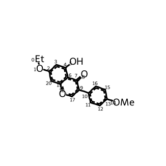 CCOc1cc(O)c2c(=O)c(-c3ccc(OC)cc3)coc2c1